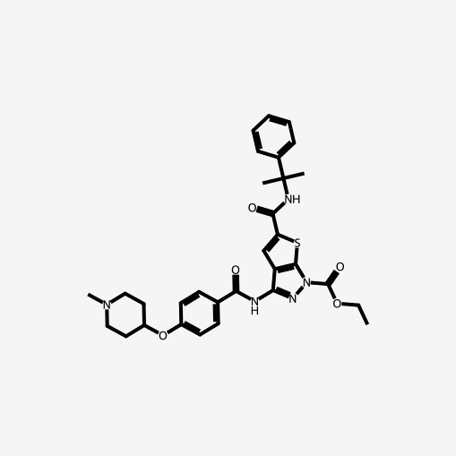 CCOC(=O)n1nc(NC(=O)c2ccc(OC3CCN(C)CC3)cc2)c2cc(C(=O)NC(C)(C)c3ccccc3)sc21